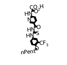 CCCCCOc1ccc(NC(=S)NC(=O)c2ccc(NC(=O)C(=O)O)nc2)cc1C(F)(F)F